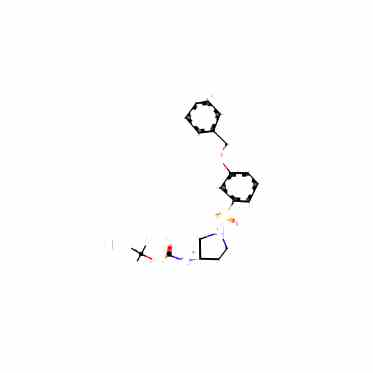 CC(C)(C)OC(=O)N[C@@H]1CCN(S(=O)(=O)c2cccc(OCc3ccccc3)c2)C1